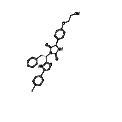 O=C1N[C@H](c2ccc(OCCO)cc2)C(=O)N1[C@@H](Cc1ccccc1)c1ncc(-c2ccc(I)cc2)[nH]1